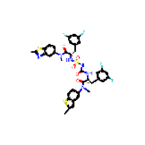 Cc1cc2cc(N(C)C(=O)[C@H](Cc3cc(F)cc(F)c3)NC(=O)NS(=O)(=O)N[C@@H](Cc3cc(F)cc(F)c3)C(=O)N(C)c3ccc4sc(C)nc4c3)ccc2s1